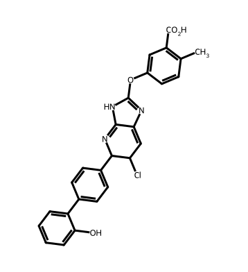 Cc1ccc(Oc2nc3c([nH]2)=NC(c2ccc(-c4ccccc4O)cc2)C(Cl)C=3)cc1C(=O)O